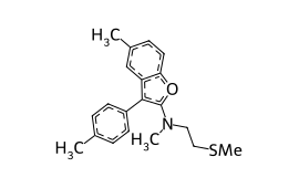 CSCCN(C)c1oc2ccc(C)cc2c1-c1ccc(C)cc1